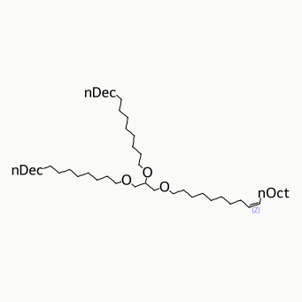 CCCCCCCC/C=C\CCCCCCCCOCC(COCCCCCCCCCCCCCCCCCC)OCCCCCCCCCCCCCCCCCC